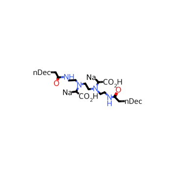 CCCCCCCCCCCC(=O)NCCN(CCN(CCNC(=O)CCCCCCCCCCC)[CH]([Na])C(=O)O)[CH]([Na])C(=O)O